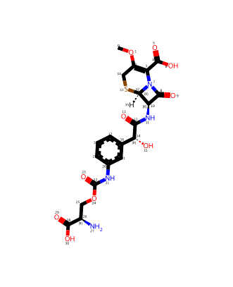 COC1=C(C(=O)O)N2C(=O)[C@@H](NC(=O)[C@H](O)c3cccc(NC(=O)OC[C@@H](N)C(=O)O)c3)[C@H]2SC1